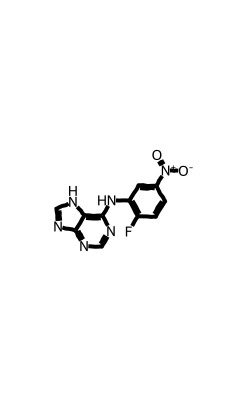 O=[N+]([O-])c1ccc(F)c(Nc2ncnc3nc[nH]c23)c1